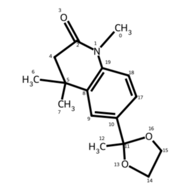 CN1C(=O)CC(C)(C)c2cc(C3(C)OCCO3)ccc21